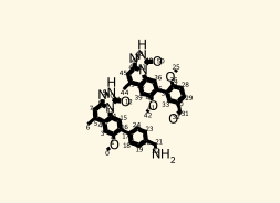 COc1cc2c(C)cc3n[nH]c(=O)n3c2cc1-c1ccc(CN)cc1.COc1ccc(C=O)cc1-c1cc2c(cc1OC)c(C)cc1n[nH]c(=O)n12